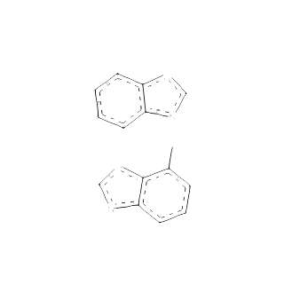 O=C(O)c1cccc2ncsc12.c1ccc2scnc2c1